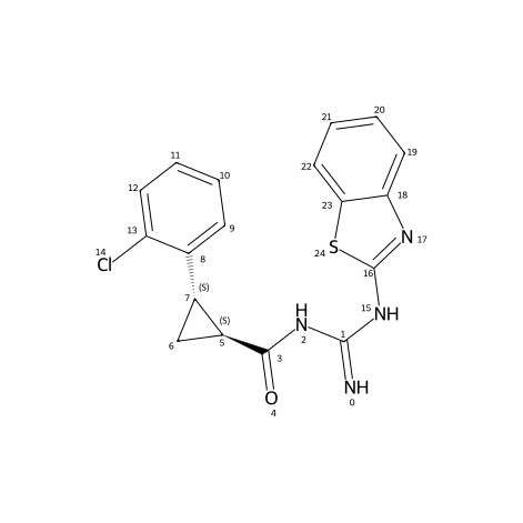 N=C(NC(=O)[C@H]1C[C@@H]1c1ccccc1Cl)Nc1nc2ccccc2s1